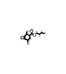 CCCCOC(=O)C1CC(C)C2OC2C1C